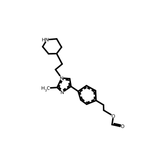 Cc1nc(-c2ccc(CCOC=O)cc2)cn1CCC1CCNCC1